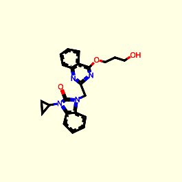 O=c1n(Cc2nc(OCCCO)c3ccccc3n2)c2ccccc2n1C1CC1